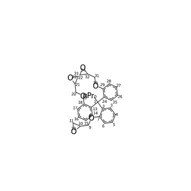 CCCC(c1ccccc1OCC1CO1)(c1ccccc1OCC1CO1)c1ccccc1OCC1CO1